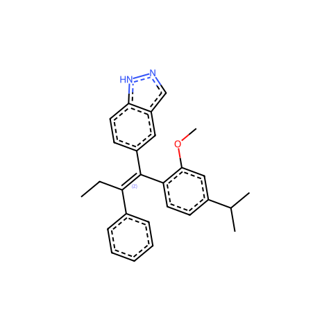 CC/C(=C(\c1ccc2[nH]ncc2c1)c1ccc(C(C)C)cc1OC)c1ccccc1